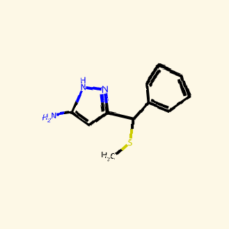 CSC(c1ccccc1)c1cc(N)[nH]n1